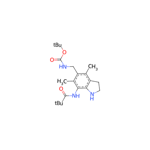 Cc1c(CNC(=O)OC(C)(C)C)c(C)c(NC(=O)C(C)(C)C)c2c1CCN2